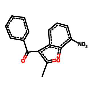 Cc1oc2c([N+](=O)[O-])cccc2c1C(=O)c1ccccc1